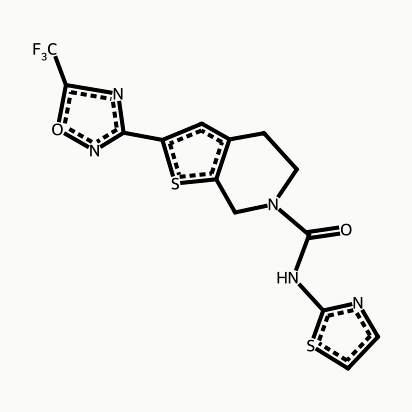 O=C(Nc1nccs1)N1CCc2cc(-c3noc(C(F)(F)F)n3)sc2C1